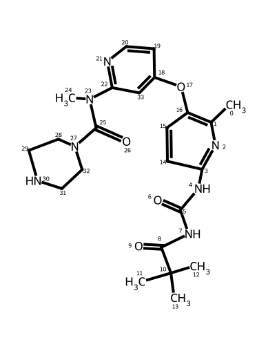 Cc1nc(NC(=O)NC(=O)C(C)(C)C)ccc1Oc1ccnc(N(C)C(=O)N2CCNCC2)c1